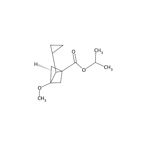 COC12CC(C(=O)OC(C)C)(C1)[C@@H]2C1CC1